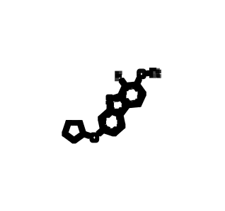 CCOc1ccc2c(sc3cc(OC4CCCC4)ccc32)c1F